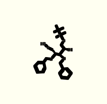 CC(C)(C)[Si](C)(C)OC[C@@H](O)[C@@H](OCc1ccccc1)[C@@H](CCO)OCc1ccccc1